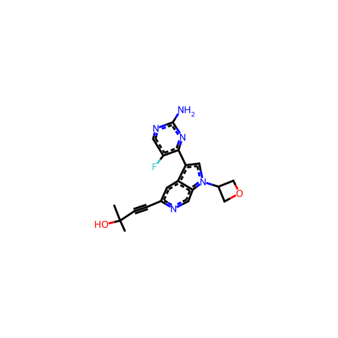 CC(C)(O)C#Cc1cc2c(-c3nc(N)ncc3F)cn(C3COC3)c2cn1